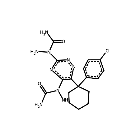 NC(=O)N(N)c1nnc(C2(c3ccc(Cl)cc3)CCCCC2)c(N(N)C(N)=O)n1